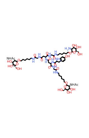 CC(=O)N[C@H]1[C@H](OCCCCCCNC(=O)CNC(=O)CC(NC(=O)CC(NC(=O)C(N)Cc2ccc(O)cc2)C(=O)NCC(=O)NCCCCCCO[C@@H]2O[C@H](CO)[C@H](O)[C@H](O)[C@H]2NC(C)=O)C(=O)NCC(=O)NCCCCCCO[C@@H]2O[C@H](CO)[C@H](O)[C@H](O)[C@H]2N)O[C@H](CO)[C@H](O)[C@@H]1O